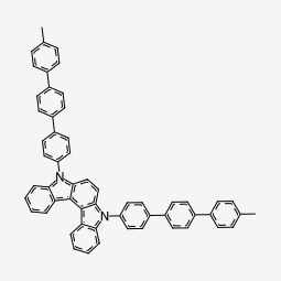 Cc1ccc(-c2ccc(-c3ccc(-n4c5ccccc5c5c6c7ccccc7n(-c7ccc(-c8ccc(-c9ccc(C)cc9)cc8)cc7)c6ccc54)cc3)cc2)cc1